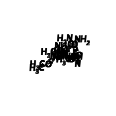 Cc1nc(-c2ccc(OCCC(C)C)cc2)nc(C)c1C(=O)N[C@@H](CCN)C(=O)N(C)[C@@H]1C(=O)N[C@@H](C)C(=O)N[C@H](C(=O)NCC#N)Cc2ccc(OCCN)c(c2)-c2cc1ccc2OCCN